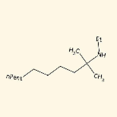 [CH2]CNC(C)(C)CCCCCCCCC